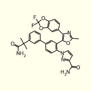 Cc1nc(-c2ccc3c(c2)OC(F)(F)O3)c(-c2cc(-c3cccc(C(C)(C)C(N)=O)c3)ccc2-n2ccc(C(N)=O)n2)o1